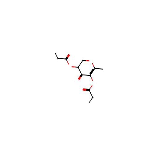 CC1=C(OC(=O)CC(C)C)C(=O)C(OC(=O)CC(C)C)CO1